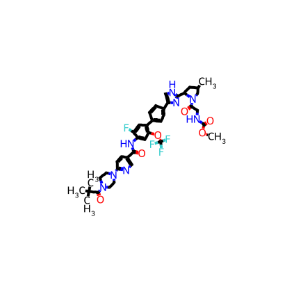 COC(=O)NCC(=O)N1CC(C)CC1c1nc(-c2ccc(-c3cc(F)c(NC(=O)c4ccc(N5CCN(C(=O)C(C)(C)C)CC5)nc4)cc3OC(F)(F)F)cc2)c[nH]1